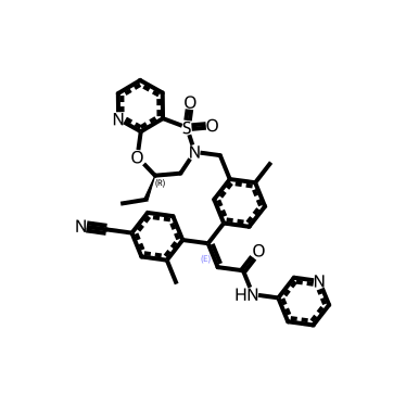 CC[C@@H]1CN(Cc2cc(/C(=C\C(=O)Nc3cccnc3)c3ccc(C#N)cc3C)ccc2C)S(=O)(=O)c2cccnc2O1